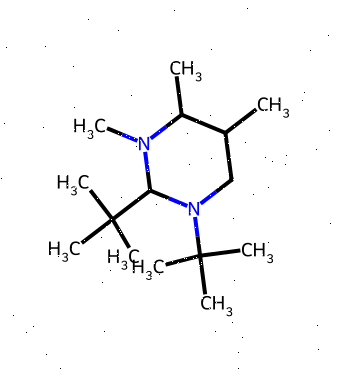 CC1CN(C(C)(C)C)C(C(C)(C)C)N(C)C1C